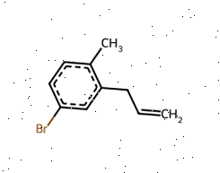 C=CCc1cc(Br)ccc1C